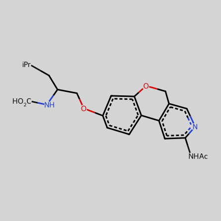 CC(=O)Nc1cc2c(cn1)COc1cc(OCC(CC(C)C)NC(=O)O)ccc1-2